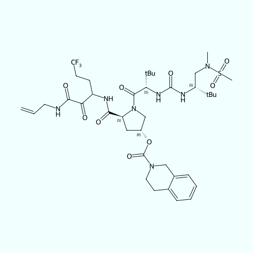 C=CCNC(=O)C(=O)C(CCC(F)(F)F)NC(=O)[C@@H]1C[C@@H](OC(=O)N2CCc3ccccc3C2)CN1C(=O)[C@@H](NC(=O)N[C@H](CN(C)S(C)(=O)=O)C(C)(C)C)C(C)(C)C